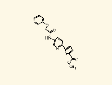 COC(=O)c1ccc(-c2ccc(NC(=O)COc3ccccc3)cn2)s1